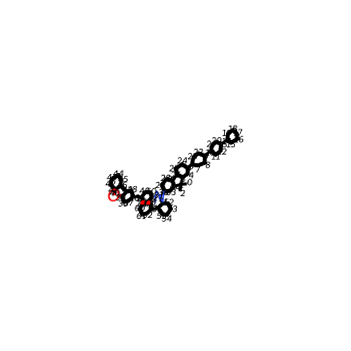 CC1(C)c2cc(-c3ccc(-c4ccc(-c5ccccc5)cc4)cc3)ccc2-c2ccc(N(c3ccc(-c4ccc5oc6ccccc6c5c4)cc3)c3ccccc3-c3ccccc3)cc21